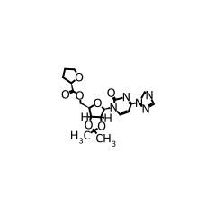 CC1(C)O[C@@H]2[C@H](O1)[C@@H](COC(=O)[C@H]1CCCO1)O[C@H]2n1ccc(-n2cncn2)nc1=O